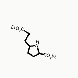 CCOC(=O)CCC1CCC(C(=O)OCC)N1